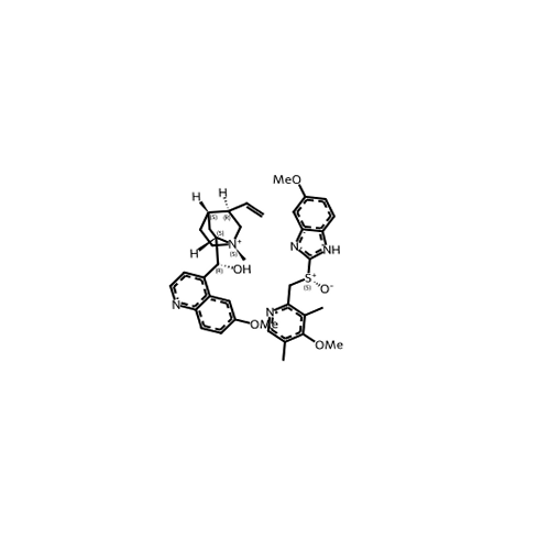 C=C[C@H]1C[N@+]2(C)CC[C@H]1C[C@H]2[C@H](O)c1ccnc2ccc(OC)cc12.COc1ccc2[nH]c([S@+]([O-])Cc3ncc(C)c(OC)c3C)nc2c1